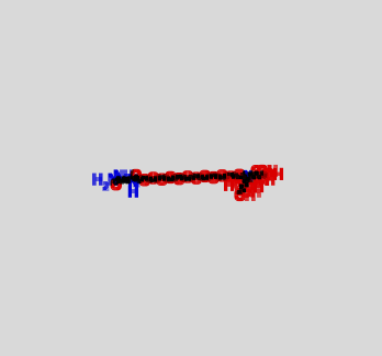 NC(=O)[C@@H](N)CCCCNC(=O)CCOCCOCCOCCOCCOCCOCCOCCOCCOCCOCCOCCOCCN(C[C@H](O)[C@@H](O)[C@H](O)[C@H](O)CO)C[C@H](O)[C@@H](O)[C@H](O)[C@H](O)CO